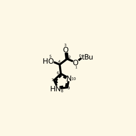 CC(C)(C)OC(=O)C(O)c1c[nH]cn1